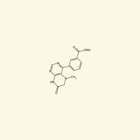 COC(=O)c1cccc(-c2ncnc3c2N(C)CC(=O)N3)c1